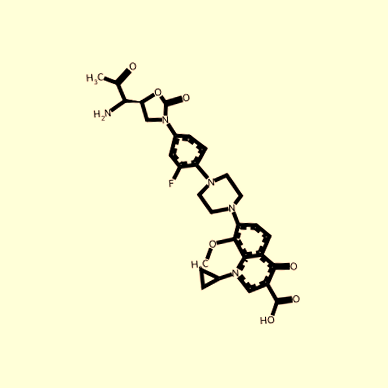 COc1c(N2CCN(c3ccc(N4C[C@@H](C(N)C(C)=O)OC4=O)cc3F)CC2)ccc2c(=O)c(C(=O)O)cn(C3CC3)c12